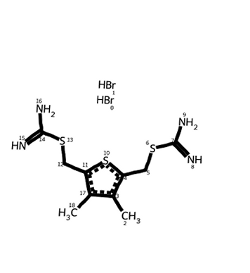 Br.Br.Cc1c(CSC(=N)N)sc(CSC(=N)N)c1C